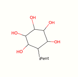 CCCC(C)C1C(O)C(O)C(O)C(O)C1O